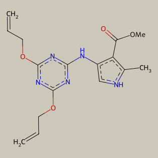 C=CCOc1nc(Nc2c[nH]c(C)c2C(=O)OC)nc(OCC=C)n1